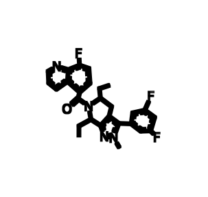 CCC1Cc2c(nn(C)c2-c2cc(F)cc(F)c2)C(CC)N1C(=O)c1ccc(F)c2ncccc12